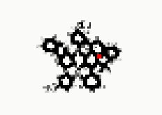 CC(C)(C)c1ccc(N2B3c4ccc5c(sc6ccccc65)c4N(c4ccc(C(C)(C)C)cc4-c4ccccc4)c4cc5c(c(c43)-c3ccccc32)C(C)(C)c2ccccc2-5)cc1